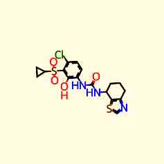 O=C(Nc1ccc(Cl)c(S(=O)(=O)C2CC2)c1O)NC1CCCc2ncsc21